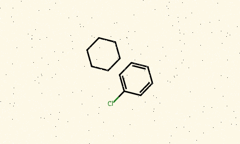 C1CCCCC1.Clc1ccccc1